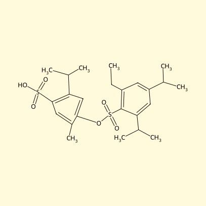 CCc1cc(C(C)C)cc(C(C)C)c1S(=O)(=O)Oc1cc(C(C)C)c(S(=O)(=O)O)cc1C